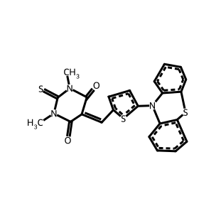 CN1C(=O)C(=Cc2ccc(N3c4ccccc4Sc4ccccc43)s2)C(=O)N(C)C1=S